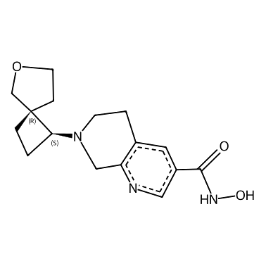 O=C(NO)c1cnc2c(c1)CCN([C@H]1CC[C@@]13CCOC3)C2